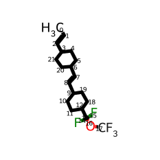 C/C=C/C1CCC(/C=C/C2CCC(C(F)(F)OC(F)(F)F)CC2)CC1